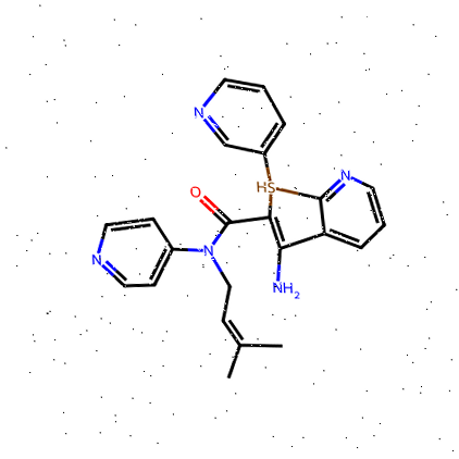 CC(C)=CCN(C(=O)C1=C(N)c2cccnc2[SH]1c1cccnc1)c1ccncc1